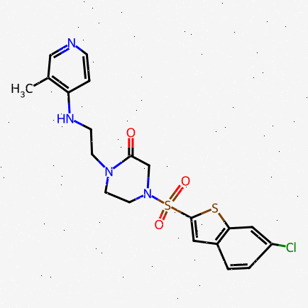 Cc1cnccc1NCCN1CCN(S(=O)(=O)c2cc3ccc(Cl)cc3s2)CC1=O